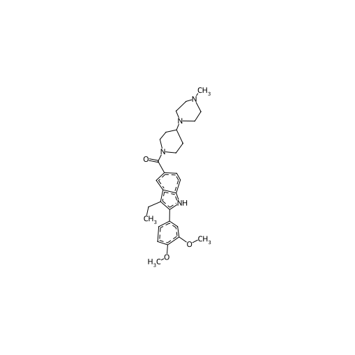 CCc1c(-c2ccc(OC)c(OC)c2)[nH]c2ccc(C(=O)N3CCC(N4CCN(C)CC4)CC3)cc12